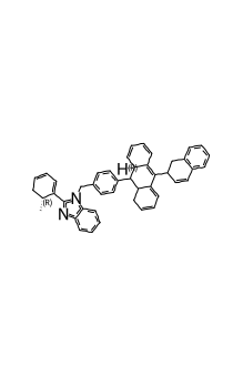 C[C@@H]1CC=CC=C1c1nc2ccccc2n1Cc1ccc(C2C3CC=CC=C3C(C3C=Cc4ccccc4C3)=C3C=CC=C[C@@H]32)cc1